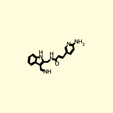 N=Cc1c(CNC(=O)/C=C/c2ccc(N)nc2)[nH]c2ccccc12